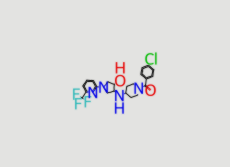 O=C(c1ccc(Cl)cc1)N1CCC(N[C@@H]2CN(c3cccc(C(F)(F)F)n3)C[C@H]2O)CC1